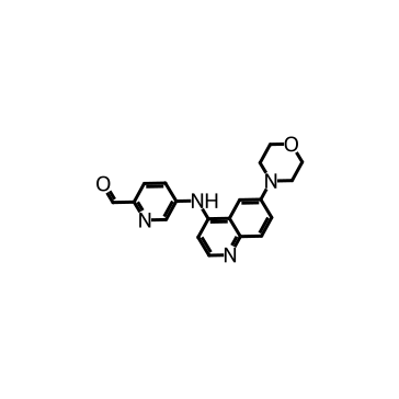 O=Cc1ccc(Nc2ccnc3ccc(N4CCOCC4)cc23)cn1